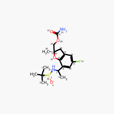 CC(N[S@+]([O-])C(C)(C)C)c1cc(F)cc2c1O[C@@](C)(COC(N)=O)C2